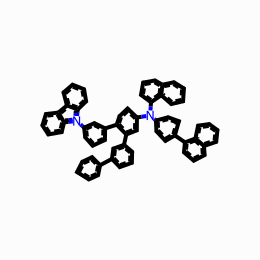 c1ccc(-c2cccc(-c3cc(N(c4ccc(-c5cccc6ccccc56)cc4)c4cccc5ccccc45)ccc3-c3cccc(-n4c5ccccc5c5ccccc54)c3)c2)cc1